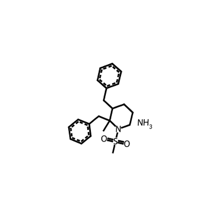 CC1(Cc2ccccc2)C(Cc2ccccc2)CCCN1S(C)(=O)=O.N